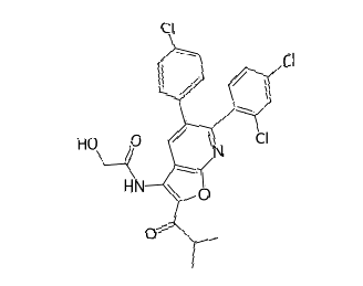 CC(C)C(=O)c1oc2nc(-c3ccc(Cl)cc3Cl)c(-c3ccc(Cl)cc3)cc2c1NC(=O)CO